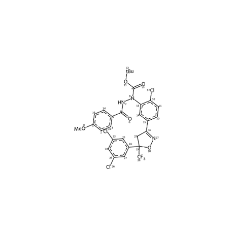 COc1ccc(C(=O)NN(C(=O)OC(C)(C)C)c2cc(C3=NOC(c4cc(Cl)cc(Cl)c4)(C(F)(F)F)C3)ccc2Cl)cc1